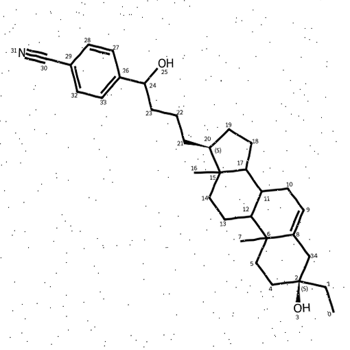 CC[C@]1(O)CCC2(C)C(=CCC3C2CCC2(C)C3CC[C@@H]2CCCC(O)c2ccc(C#N)cc2)C1